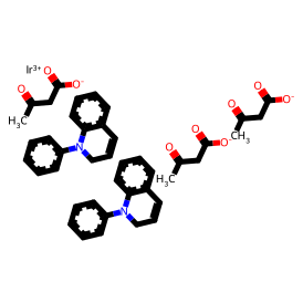 C1=Cc2ccccc2N(c2ccccc2)C1.C1=Cc2ccccc2N(c2ccccc2)C1.CC(=O)CC(=O)[O-].CC(=O)CC(=O)[O-].CC(=O)CC(=O)[O-].[Ir+3]